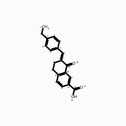 CCc1ccc(/C=C2\CCc3ccc(C(=O)O)cc3C2=O)cc1